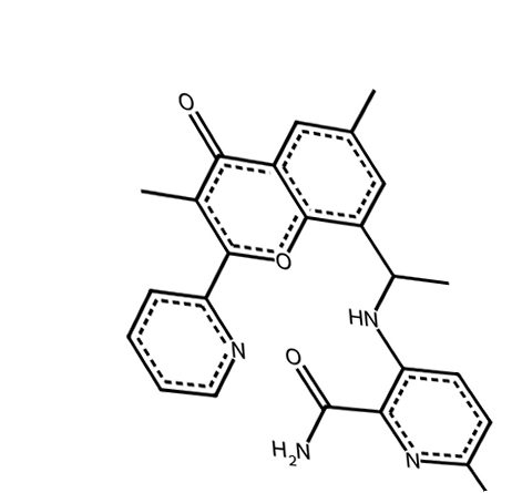 Cc1cc(C(C)Nc2ccc(Cl)nc2C(N)=O)c2oc(-c3ccccn3)c(C)c(=O)c2c1